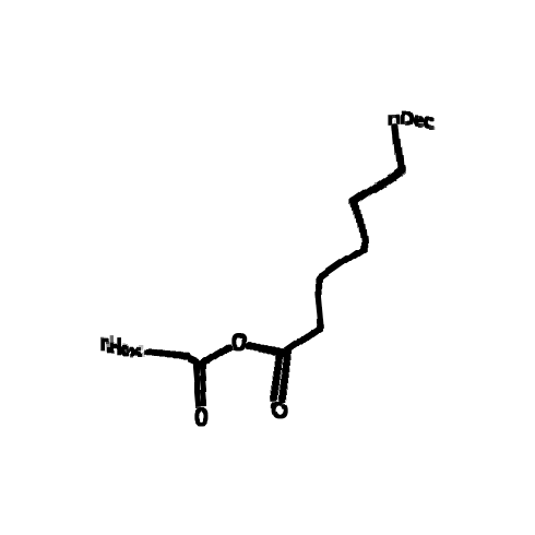 CCCCCCCCCCCCCCCC(=O)OC(=O)CCCCCC